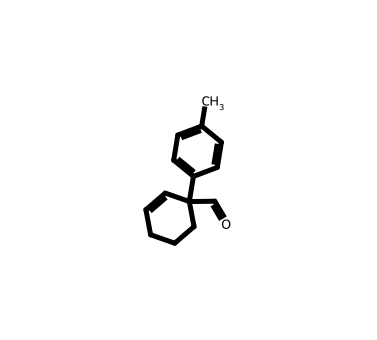 Cc1ccc(C2(C=O)C=CCCC2)cc1